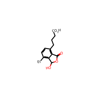 CCc1ccc(CCCC(=O)O)c2c1C(O)OC2=O